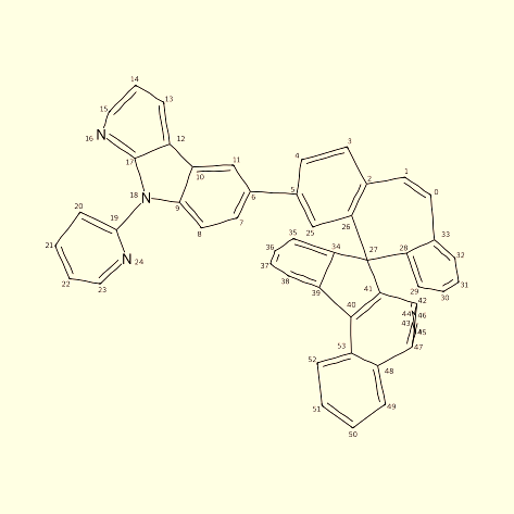 C1=Cc2ccc(-c3ccc4c(c3)c3cccnc3n4-c3ccccn3)cc2C2(c3ccccc31)c1ccccc1-c1c2c2ccccc2c2ccccc12